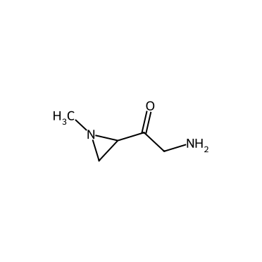 CN1CC1C(=O)CN